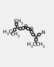 Cc1ccc(N(c2ccc(C(C)C)cc2)c2ccc3cc4c(cc3c2)oc2cc3oc5cc6cc(N(c7ccc(C#N)cc7)c7ccc(C(C)C)cc7)ccc6cc5c3cc24)cc1